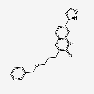 O=c1[nH]c2cc(-c3ccsn3)ccc2cc1CCCOCc1ccccc1